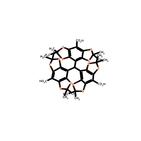 CC1(C)Sc2c(c(C(=O)O)c3c(c2[C](c2c4c(c(C(=O)O)c5c2SC(C)(C)S5)SC(C)(C)S4)c2c4c(c(C(=O)O)c5c2SC(C)(C)S5)SC(C)(C)S4)SC(C)(C)S3)S1